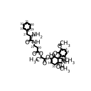 COc1ccc(C)c2c1O[C@H]1C(OC(=O)[C@H](C)OC(=O)CCNC(=O)[C@@H](N)Cc3ccccc3)=CC[C@@]3(O)[C@@H](C)NCC[C@]213